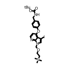 CC(C)(C)OC(=O)NCc1ccc(Oc2ccnc3c2c(I)cn3COCC[Si](C)(C)C)cc1